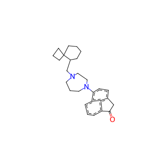 O=C1Cc2ccc(N3CCCN(CC4CCCCC45CCC5)CC3)c3cccc1c23